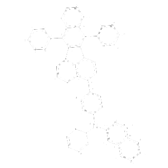 C1=CCC(N(c2ccc(-c3ccc4c5c(cccc35)-c3c-4c(-c4ccccc4)c4ccccc4c3-c3ccccc3)cc2)c2cnc3ccccc3c2)C=C1